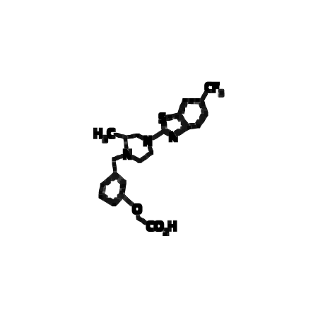 CC1CN(c2nc3ccc(C(F)(F)F)cc3s2)CCN1Cc1cccc(OCC(=O)O)c1